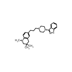 CN1CC(C)(C)Cc2cc(CCCN3CCN(c4nsc5ccccc45)CC3)ccc21